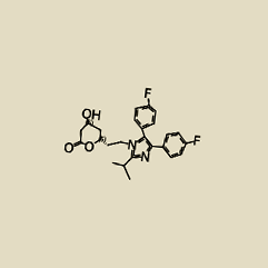 CC(C)c1nc(-c2ccc(F)cc2)c(-c2ccc(F)cc2)n1CC[C@H]1C[C@H](O)CC(=O)O1